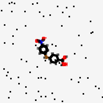 O=C(O)[C@H]1CC[C@@H](Sc2ccc([N+](=O)[O-])cc2)CC1